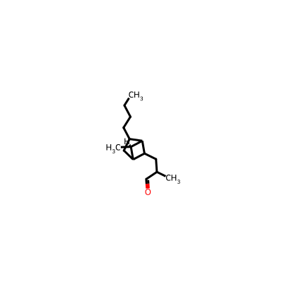 CCCCC1CC2C(CC(C)C=O)C1[C@H]2C